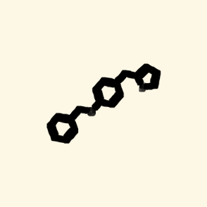 c1ccc(COc2ccc(Cc3cccs3)cc2)cc1